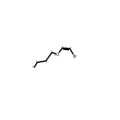 CCCCO/C=C\Br